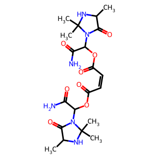 CC1NC(C)(C)N(C(OC(=O)/C=C\C(=O)OC(C(N)=O)N2C(=O)C(C)NC2(C)C)C(N)=O)C1=O